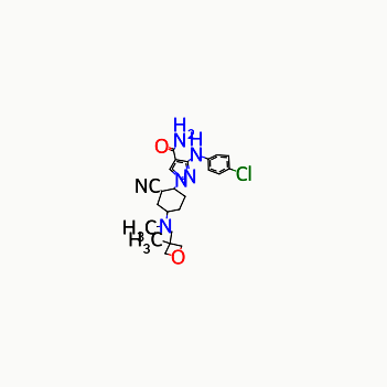 CN(CC1(C)COC1)C1CCC(n2cc(C(N)=O)c(Nc3ccc(Cl)cc3)n2)C(C#N)C1